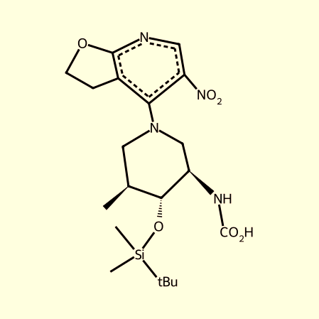 C[C@H]1CN(c2c([N+](=O)[O-])cnc3c2CCO3)C[C@@H](NC(=O)O)[C@@H]1O[Si](C)(C)C(C)(C)C